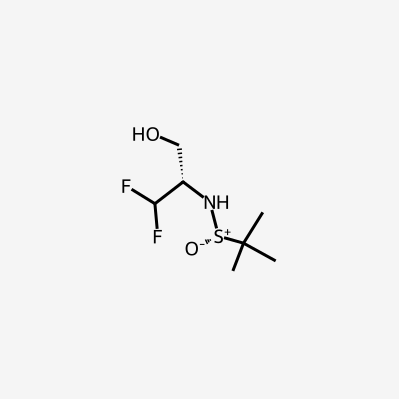 CC(C)(C)[S@+]([O-])N[C@@H](CO)C(F)F